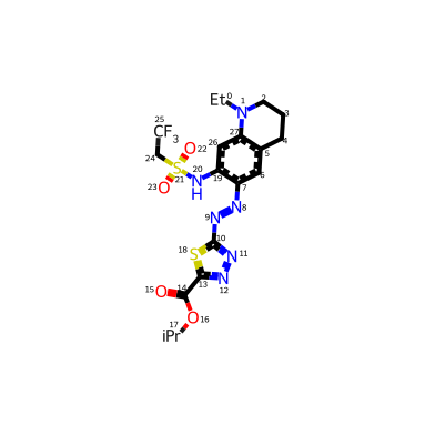 CCN1CCCc2cc(N=Nc3nnc(C(=O)OC(C)C)s3)c(NS(=O)(=O)CC(F)(F)F)cc21